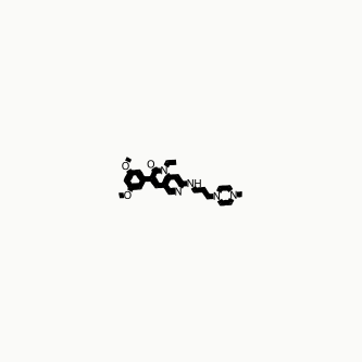 CCn1c(=O)c(-c2cc(OC)cc(OC)c2)cc2cnc(NCCCN3CCN(C)CC3)cc21